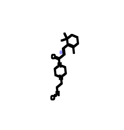 CC1=C(/C=C/C(=O)N2CCN(CCN=O)CC2)C(C)(C)CCC1